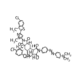 Cc1c(-c2cc(N3C(=O)[C@@H]4C[C@@H]5C(=CC[C@@H]6C(=O)N(c7ccc(/N=N/c8ccc(N(C)C)cc8)cc7)C(=O)[C@@H]65)[C@H](c5cc(Cl)ccc5O)[C@]4(C)C3=O)n(C)n2)sc2ccc(Cl)cc12